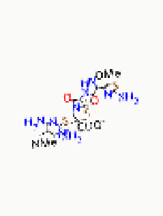 CNc1c(C)c(N)nc(SCC2(C(=O)[O-])CS[C@@H]3C(NC(=O)C(=NOC)c4csc(N)n4)C(=O)N3C2)[n+]1N